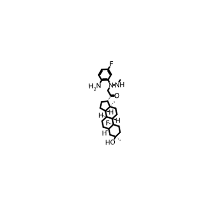 CNN(CC(=O)[C@H]1CC[C@H]2[C@@H]3CC[C@@H]4C[C@](C)(O)CC[C@]4(F)[C@H]3CC[C@]12C)c1cc(F)ccc1N